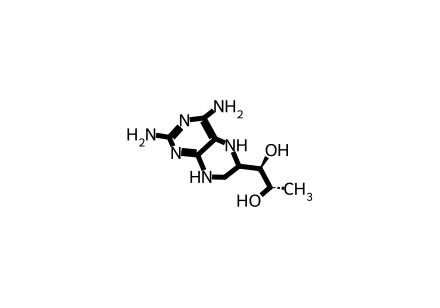 C[C@H](O)[C@H](O)C1CNc2nc(N)nc(N)c2N1